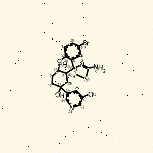 NC1=N[C@]2(CS1)c1cc(Br)ccc1OC1CCC(O)(c3cncc(Cl)c3)C[C@@H]12